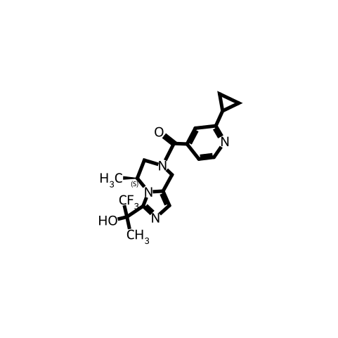 C[C@H]1CN(C(=O)c2ccnc(C3CC3)c2)Cc2cnc(C(C)(O)C(F)(F)F)n21